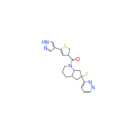 O=C(C1C=C(c2cn[nH]c2)SC1)N1CCCC2CC(F)(c3cccnn3)CC21